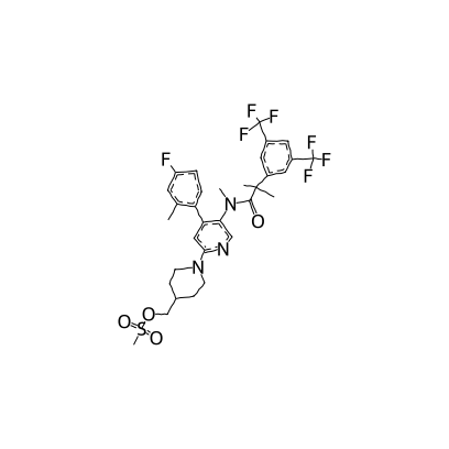 Cc1cc(F)ccc1-c1cc(N2CCC(COS(C)(=O)=O)CC2)ncc1N(C)C(=O)C(C)(C)c1cc(C(F)(F)F)cc(C(F)(F)F)c1